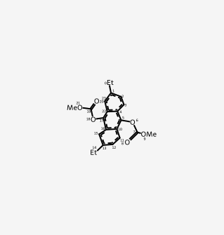 CCc1ccc2c(OC(=O)OC)c3ccc(CC)cc3c(OC(=O)OC)c2c1